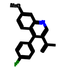 C=C(C)c1cnc2cc(OC)ccc2c1-c1ccc(F)cc1